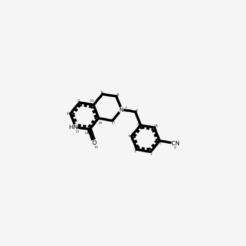 N#Cc1cccc(CN2CCc3cc[nH]c(=O)c3C2)c1